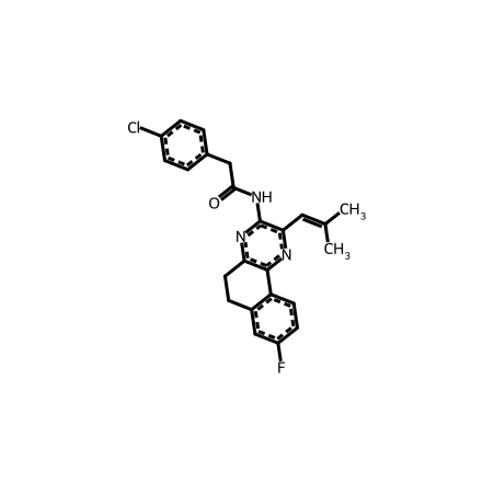 CC(C)=Cc1nc2c(nc1NC(=O)Cc1ccc(Cl)cc1)CCc1cc(F)ccc1-2